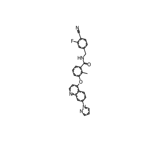 Cc1c(Oc2ccnc3cc(-n4cccn4)ccc23)cccc1C(=O)NCc1ccc(C#N)c(F)c1